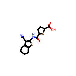 N#Cc1c(NC(=O)C2CCC(C(=O)O)S2)sc2c1CCCC2